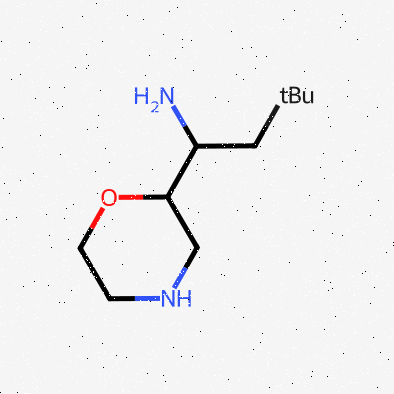 CC(C)(C)CC(N)C1CNCCO1